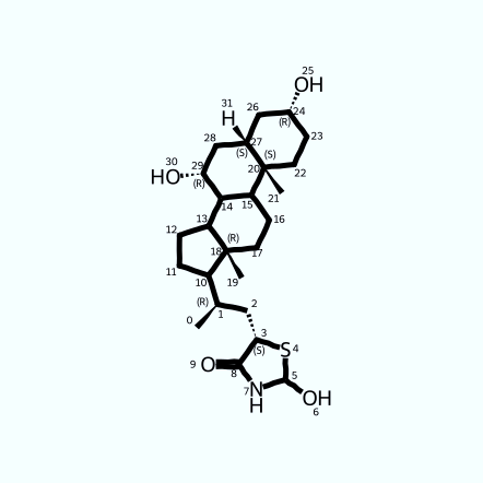 C[C@H](C[C@@H]1SC(O)NC1=O)C1CCC2C3C(CC[C@@]21C)[C@@]1(C)CC[C@@H](O)C[C@H]1C[C@H]3O